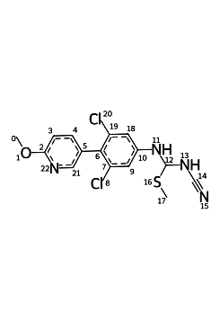 COc1ccc(-c2c(Cl)cc(NC(NC#N)SC)cc2Cl)cn1